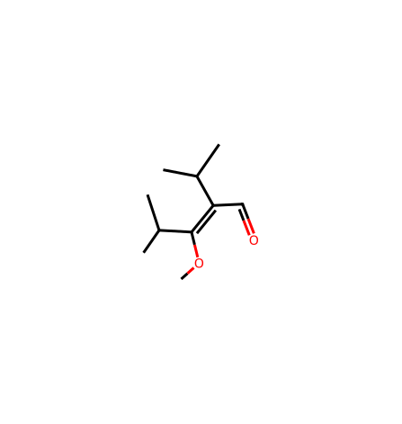 CO/C(=C(\C=O)C(C)C)C(C)C